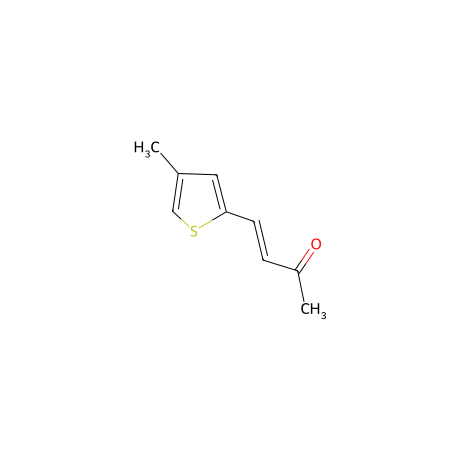 CC(=O)/C=C/c1cc(C)cs1